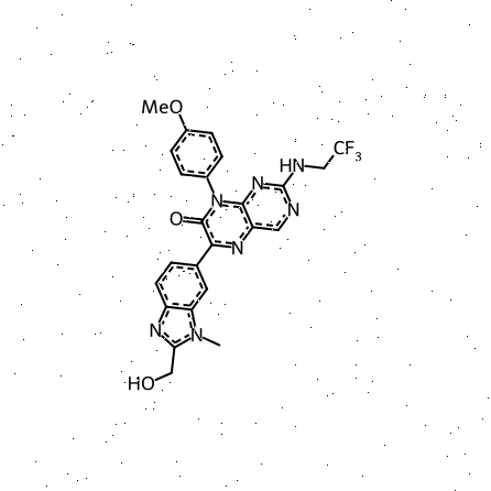 COc1ccc(-n2c(=O)c(-c3ccc4nc(CO)n(C)c4c3)nc3cnc(NCC(F)(F)F)nc32)cc1